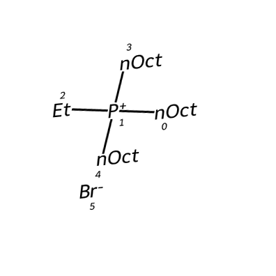 CCCCCCCC[P+](CC)(CCCCCCCC)CCCCCCCC.[Br-]